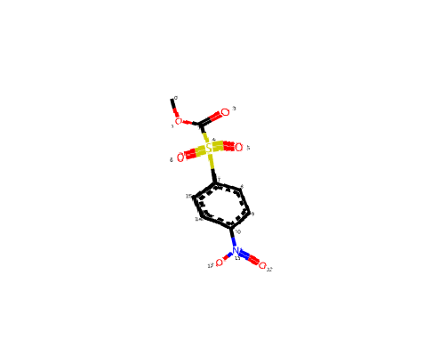 COC(=O)S(=O)(=O)c1ccc([N+](=O)[O-])cc1